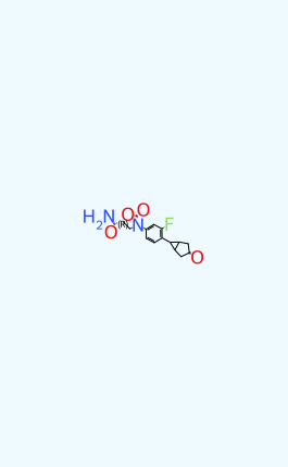 NC(=O)[C@H]1CN(c2ccc(C3C4CC(=O)CC43)c(F)c2)C(=O)O1